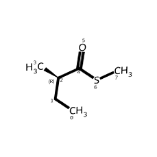 CC[C@@H](C)C(=O)SC